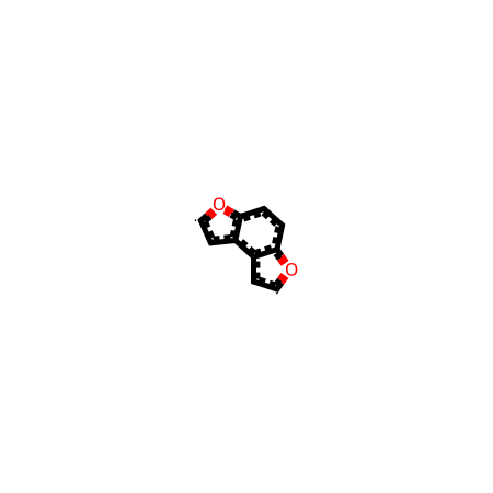 [c]1cc2c(ccc3o[c]cc32)o1